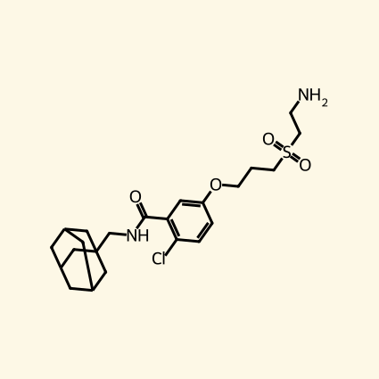 NCCS(=O)(=O)CCCOc1ccc(Cl)c(C(=O)NCC23CC4CC(CC(C4)C2)C3)c1